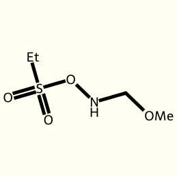 CCS(=O)(=O)ONCOC